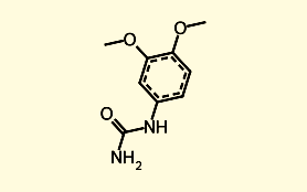 COc1ccc(NC(N)=O)cc1OC